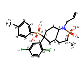 C=CCN1C2CCC(c3cc(F)ccc3F)(S(=O)(=O)c3ccc(C(F)(F)F)cc3)CC2C[C@@H](C(C)C)S1(=O)=O